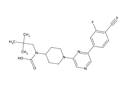 CC(C)(C)CN(C(=O)O)C1CCN(c2cncc(-c3ccc(C#N)c(F)c3)n2)CC1